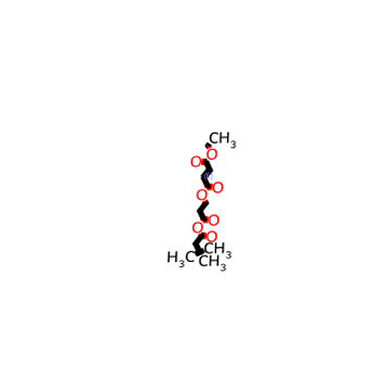 CCOC(=O)/C=C/C(=O)OCCC(=O)OC(=O)CC(C)(C)C